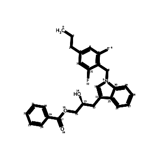 CCCc1cc(F)c(Cn2cc(C[C@H](O)COC(=O)c3ccccc3)c3ccccc32)c(F)c1